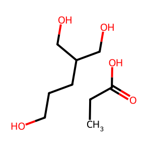 CCC(=O)O.OCCCC(CO)CO